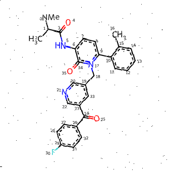 CNC(C)C(=O)Nc1ccc(-c2ccccc2C)n(Cc2cncc(C(=O)c3ccc(F)cc3)c2)c1=O